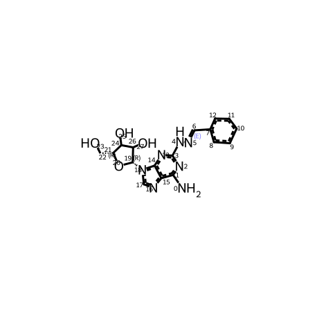 Nc1nc(N/N=C/c2ccccc2)nc2c1ncn2[C@@H]1O[C@H](CO)C(O)C1O